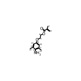 C=C(C)C(=O)OCCOc1cc(C)c(N)c(C)c1